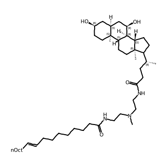 CCCCCCCCC=CCCCCCCCC(=O)NCCN(C)CCNC(=O)CC[C@@H](C)C1CC[C@H]2[C@@H]3[C@H](O)C[C@@H]4C[C@H](O)CC[C@]4(C)[C@H]3CC[C@]12C